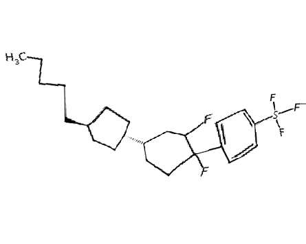 CCCCC[C@H]1CC[C@H](C2CCC(F)(c3ccc(S(F)(F)F)cc3)C(F)C2)CC1